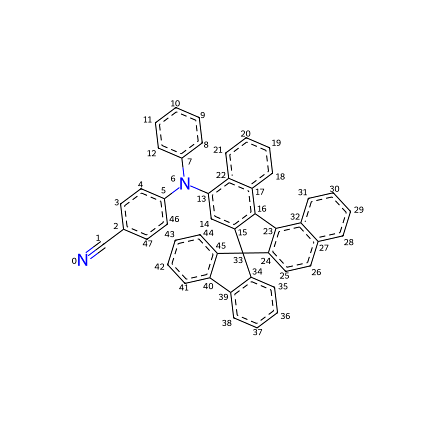 N#Cc1ccc(N(c2ccccc2)c2cc3c(c4ccccc24)-c2c(ccc4ccccc24)C32c3ccccc3-c3ccccc32)cc1